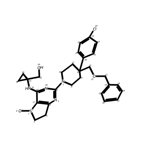 [O-][S+]1CCc2nc(N3CCC(COCc4ccccc4)(c4ccc(Cl)cc4)CC3)nc(NC3(CO)CC3)c21